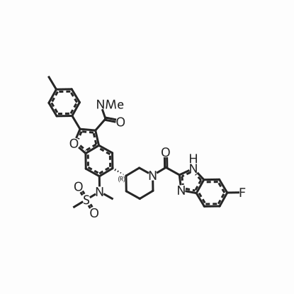 CNC(=O)c1c(-c2ccc(C)cc2)oc2cc(N(C)S(C)(=O)=O)c([C@H]3CCCN(C(=O)c4nc5ccc(F)cc5[nH]4)C3)cc12